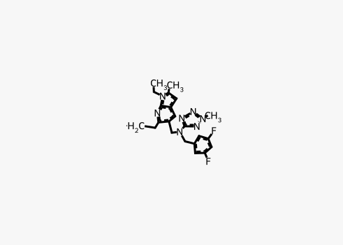 [CH2]Cc1nc2c(cc1CN(Cc1cc(F)cc(F)c1)c1nnn(C)n1)cc(C)n2CC